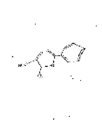 COC(=O)C(C#N)OC(=O)c1[c]cccc1